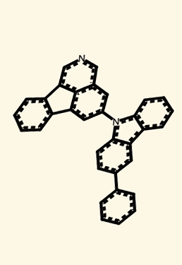 c1ccc(-c2ccc3c(c2)c2ccccc2n3-c2cc3c4c(cncc4c2)-c2ccccc2-3)cc1